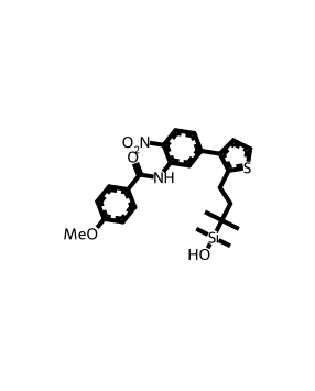 COc1ccc(C(=O)Nc2cc(-c3ccsc3CCC(C)(C)[Si](C)(C)O)ccc2[N+](=O)[O-])cc1